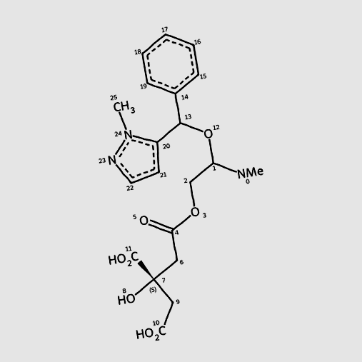 CNC(COC(=O)C[C@@](O)(CC(=O)O)C(=O)O)OC(c1ccccc1)c1ccnn1C